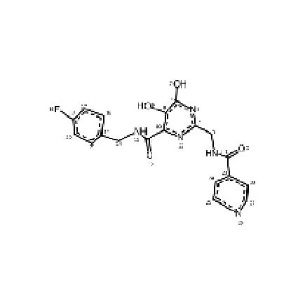 O=C(NCc1nc(O)c(O)c(C(=O)NCc2ccc(F)cc2)n1)c1ccncc1